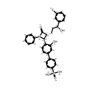 O=C1[C@H](CC[C@H](O)c2cccc(F)c2)[C@@H](c2ccc(-c3ccc(P(=O)(O)O)cc3)cc2O)N1c1ccccc1